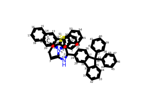 CC1C/C=C(\n2c3ccccc3c3cc4ccccc4cc32)NC(c2ccc3c(c2)-c2ccccc2C3(c2ccccc2)c2ccccc2)c2c1sc1ccccc21